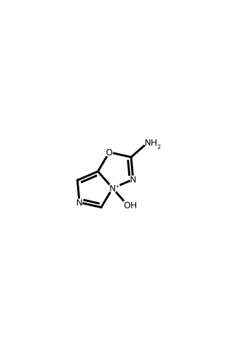 NC1=N[N+]2(O)C=NC=C2O1